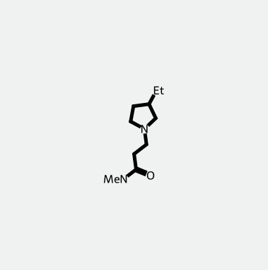 CCC1CCN(CCC(=O)NC)C1